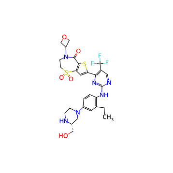 CCc1cc(N2CCN[C@@H](CO)C2)ccc1Nc1ncc(C(F)(F)F)c(-c2cc3c(s2)C(=O)N(C2COC2)CCS3(=O)=O)n1